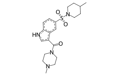 CC1CCN(S(=O)(=O)c2ccc3[nH]cc(C(=O)N4CCN(C)CC4)c3c2)CC1